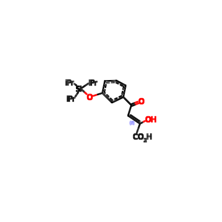 CC(C)[Si](Oc1cccc(C(=O)/C=C(\O)C(=O)O)c1)(C(C)C)C(C)C